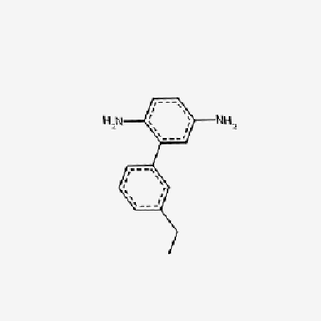 CCc1cccc(-c2cc(N)ccc2N)c1